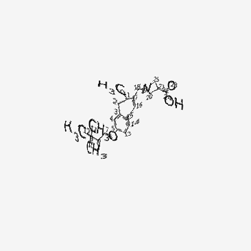 C[C@@H]1Cc2cc(OCCC(C)(C)C)ccc2C=C1CN1CC(C(=O)O)C1